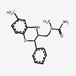 CN(CC1Nc2cc(C(=O)O)ccc2OC1c1ccccc1)C(N)=O